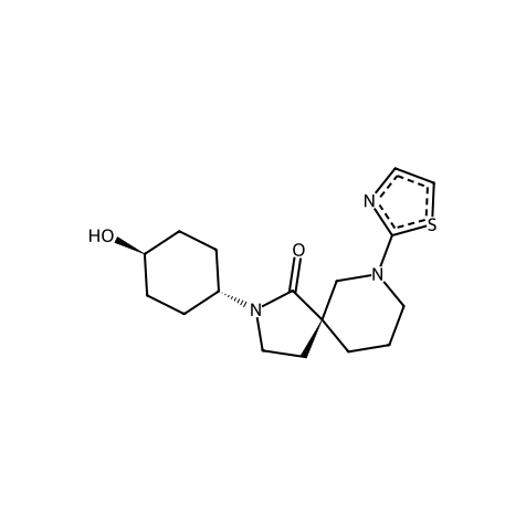 O=C1N([C@H]2CC[C@H](O)CC2)CC[C@@]12CCCN(c1nccs1)C2